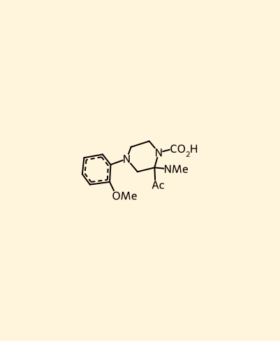 CNC1(C(C)=O)CN(c2ccccc2OC)CCN1C(=O)O